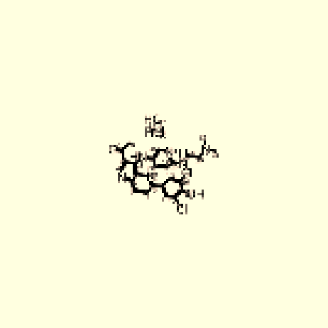 CC(=O)c1cnc2ccc(-c3cc(Cl)c(O)c(Cl)c3)nc2c1Nc1ccc(NCCN(C)C)nc1.Cl.Cl.Cl